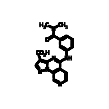 CN(C)C(=O)c1cccc(Nc2nc3c(C(=O)O)cnn3c3cnccc23)c1